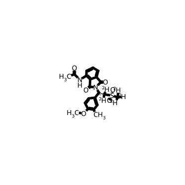 [2H]C([2H])([2H])S(=O)(=O)C([2H])([2H])[C@H](c1ccc(OC)c(C)c1)N1C(=O)c2cccc(NC(C)=O)c2C1=O